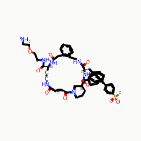 NCCOCCNC(=O)[C@@H]1CCNC(=O)/C=C/C(=O)N2CCC[C@](Cc3ccccc3)(C2)C(=O)N[C@@H](Cc2ccc(-c3ccc(S(=O)(=O)F)cc3)cc2)C(=O)NCc2ccccc2CC(=O)N1